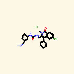 Cl.Cn1c(CNC(=O)Nc2cccc(CN)c2)c(-c2ccccc2)c2cc(Cl)ccc2c1=O